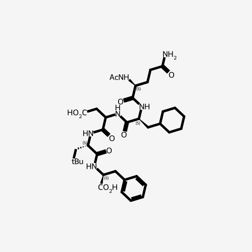 CC(=O)N[C@@H](CCC(N)=O)C(=O)N[C@@H](CC1CCCCC1)C(=O)NC(CC(=O)O)C(=O)N[C@@H](CC(C)(C)C)C(=O)N[C@@H](Cc1ccccc1)C(=O)O